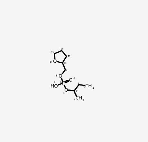 CCC(C)OP(=O)(O)OCC1CCCO1